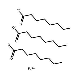 CCCCCCCC(=O)[O-].CCCCCCCC(=O)[O-].CCCCCCCC(=O)[O-].[Fe+3]